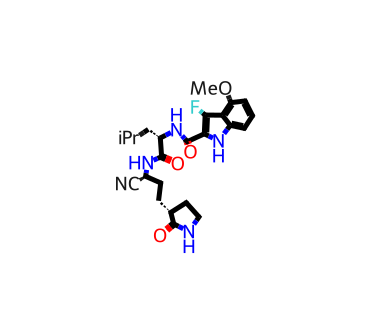 COc1cccc2[nH]c(C(=O)N[C@@H](CC(C)C)C(=O)N[C@H](C#N)CC[C@@H]3CCNC3=O)c(F)c12